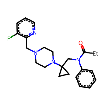 CCC(=O)N(CC1(N2CCN(Cc3ncccc3F)CC2)CC1)c1ccccc1